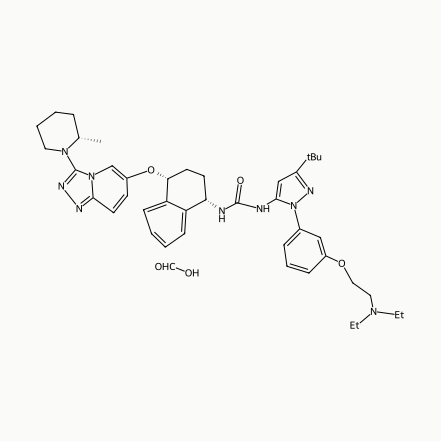 CCN(CC)CCOc1cccc(-n2nc(C(C)(C)C)cc2NC(=O)N[C@H]2CC[C@@H](Oc3ccc4nnc(N5CCCC[C@@H]5C)n4c3)c3ccccc32)c1.O=CO